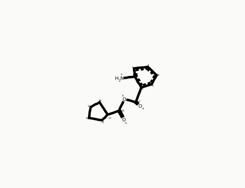 Nc1ccccc1C(=O)OC(=O)C1CCCC1